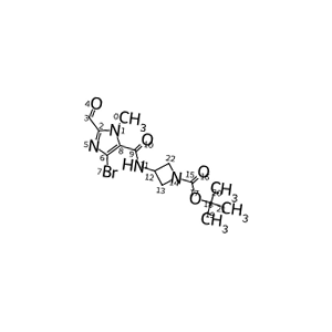 Cn1c(C=O)nc(Br)c1C(=O)NC1CN(C(=O)OC(C)(C)C)C1